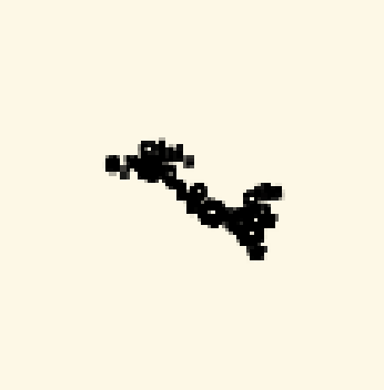 Cc1c(OCCCC(=O)O[C@H]2CC[C@H](NCc3cc(Br)cc(Br)c3NC(=O)OC(C)(C)C)CC2)ccc([N+](=O)[O-])c1C